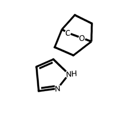 C1CC2CCC1CO2.c1cn[nH]c1